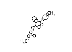 CCOC(=O)OCOC(=O)C1C2CCC(O2)C1C(=O)N1CCN(C)CC1